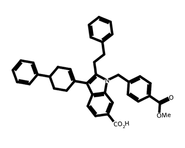 COC(=O)c1ccc(Cn2c(CCc3ccccc3)c(C3=CCC(c4ccccc4)CC3)c3ccc(C(=O)O)cc32)cc1